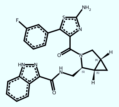 Nc1nc(C(=O)N2C[C@@H]3C[C@@H]3[C@H]2CNC(=O)c2n[nH]c3ccccc23)c(-c2cccc(F)c2)s1